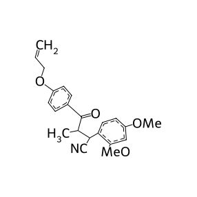 C=CCOc1ccc(C(=O)C(C)C(C#N)c2ccc(OC)cc2OC)cc1